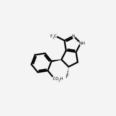 O=C(O)c1ccccc1[C@H]1c2c(C(F)(F)F)n[nH]c2C[C@@H]1F